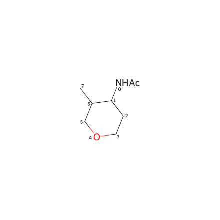 CC(=O)NC1CCOCC1C